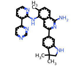 Cc1ccc2c(N)nc(-c3ccc4c(c3)NCC4(C)C)cc2c1Nc1ncccc1-c1ccncn1